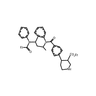 CCOC(=O)C1CNCCC1c1ccc(C(=O)N2c3ccccc3C(N(C(=O)CC)c3ccccc3)CC2C)cc1